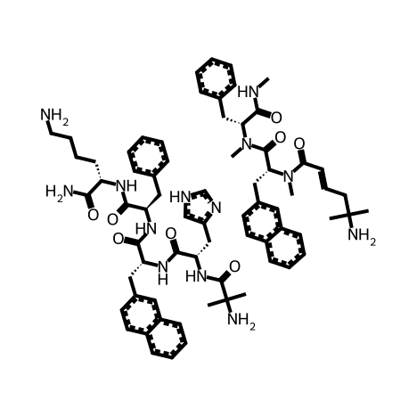 CC(C)(N)C(=O)N[C@@H](Cc1c[nH]cn1)C(=O)N[C@H](Cc1ccc2ccccc2c1)C(=O)N[C@H](Cc1ccccc1)C(=O)N[C@@H](CCCCN)C(N)=O.CNC(=O)[C@@H](Cc1ccccc1)N(C)C(=O)[C@@H](Cc1ccc2ccccc2c1)N(C)C(=O)/C=C/CC(C)(C)N